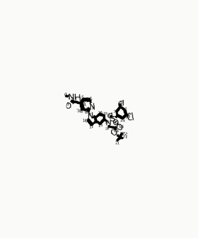 CNC(=O)c1ccnc(-n2ccc3cc(N(CC(=O)OC(C)(C)C)S(=O)(=O)c4cc(Cl)cc(Cl)c4)ccc32)c1